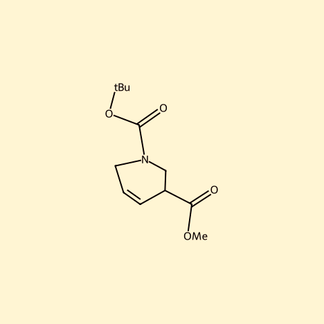 COC(=O)C1C=CCN(C(=O)OC(C)(C)C)C1